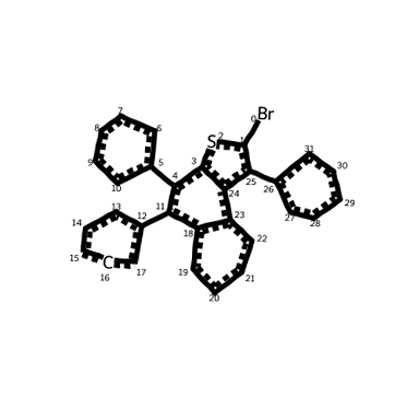 Brc1sc2c(-c3ccccc3)c(-c3ccccc3)c3ccccc3c2c1-c1ccccc1